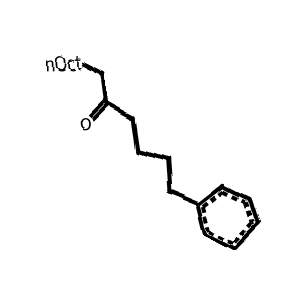 CCCCCCCCCC(=O)CCCCc1ccccc1